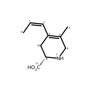 C/C=C\C1=C(C)CN[C@H](C(=O)O)C1